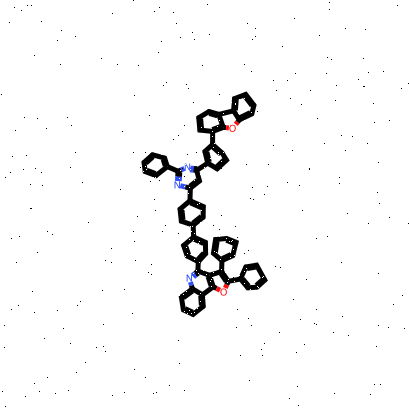 c1ccc(-c2nc(-c3ccc(-c4ccc(-c5nc6ccccc6c6oc(-c7ccccc7)c(-c7ccccc7)c56)cc4)cc3)cc(-c3cccc(-c4cccc5c4oc4ccccc45)c3)n2)cc1